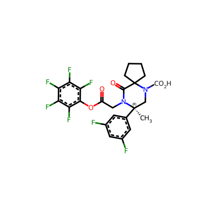 C[C@@]1(c2cc(F)cc(F)c2)CN(C(=O)O)C2(CCCC2)C(=O)N1CC(=O)Oc1c(F)c(F)c(F)c(F)c1F